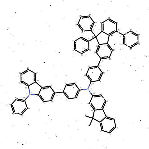 CC1(C)c2ccccc2-c2ccc(N(c3ccc(-c4ccc5c(c4)C(c4ccccc4)(c4ccccc4)c4cccc(-c6ccccc6)c4-5)cc3)c3ccc(-c4ccc5c(c4)c4ccccc4n5-c4ccccc4)cc3)cc21